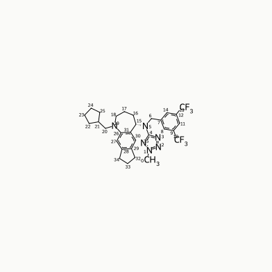 Cn1nnc(N(Cc2cc(C(F)(F)F)cc(C(F)(F)F)c2)[C@H]2CCCN(CC3CCCC3)c3cc4c(cc32)CCC4)n1